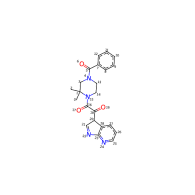 CC1(C)CN(C(=O)c2ccccc2)CCN1C(=O)C(=O)C1C=Nc2ncccc21